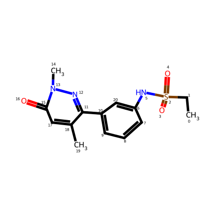 CCS(=O)(=O)Nc1cccc(-c2nn(C)c(=O)cc2C)c1